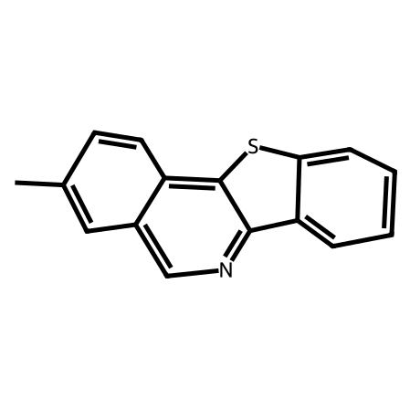 Cc1ccc2c(cnc3c4ccccc4sc23)c1